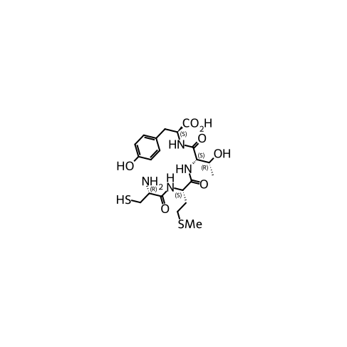 CSCC[C@H](NC(=O)[C@@H](N)CS)C(=O)N[C@H](C(=O)N[C@@H](Cc1ccc(O)cc1)C(=O)O)[C@@H](C)O